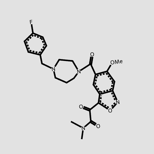 COc1cc2noc(C(=O)C(=O)N(C)C)c2cc1C(=O)N1CCCN(Cc2ccc(F)cc2)CC1